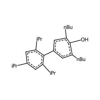 CCCCc1cc(-c2c(C(C)C)cc(C(C)C)cc2C(C)C)cc(CCCC)c1O